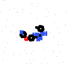 Cc1cccc(Nc2nnc(-c3ccc(Oc4ccncc4)cc3)[nH]2)c1